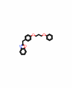 c1ccc(OCCCOc2ccc(Cc3nc4ccccc4o3)cc2)cc1